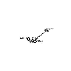 CCCCCS(=O)(=O)CCCCCCCCCCc1c(OC)ccc2[nH]c(-c3ccc(OC)cc3)c(C)c12